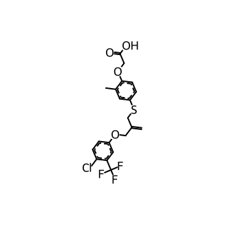 C=C(COc1ccc(Cl)c(C(F)(F)F)c1)CSc1ccc(OCC(=O)O)c(C)c1